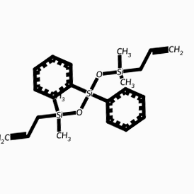 C=CC[Si](C)(C)O[Si](O[Si](C)(C)CC=C)(c1ccccc1)c1ccccc1